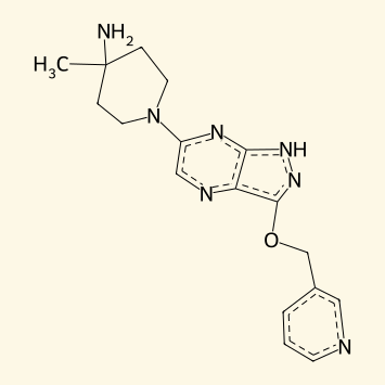 CC1(N)CCN(c2cnc3c(OCc4cccnc4)n[nH]c3n2)CC1